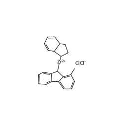 Cc1cccc2c1[CH]([Zr+2][CH]1CCC3C=CC=CC31)c1ccccc1-2.[Cl-].[Cl-]